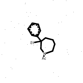 CCC1(c2ccccc2)CCCCN(C(C)=O)C1